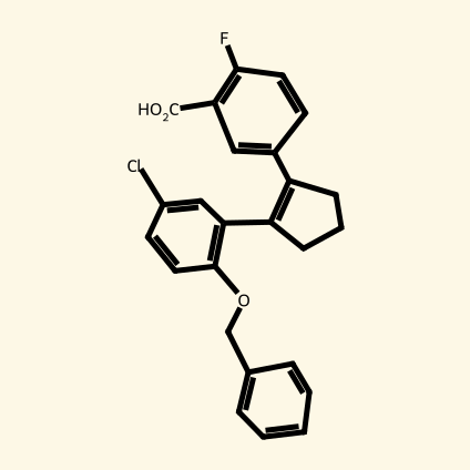 O=C(O)c1cc(C2=C(c3cc(Cl)ccc3OCc3ccccc3)CCC2)ccc1F